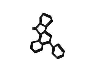 c1ccc(-c2cc3c4ccccc4[nH]c3c3ccccc23)cc1